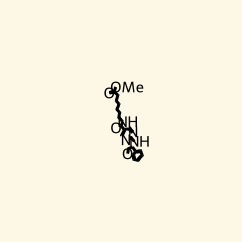 COC(=O)CCCCCCNC(=O)c1cnc(NC2COc3ccccc32)nc1